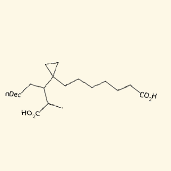 CCCCCCCCCCCC(C(C)C(=O)O)C1(CCCCCCC(=O)O)CC1